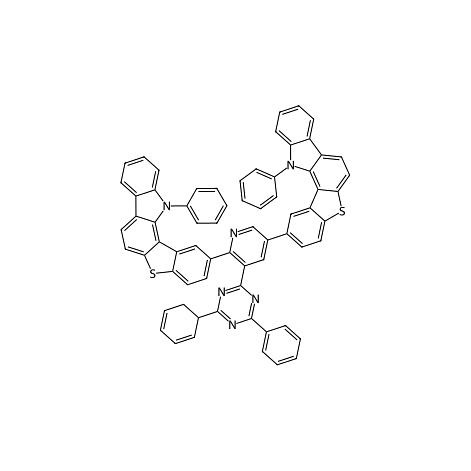 C1=CCC(c2nc(-c3ccccc3)nc(-c3cc(-c4ccc5sc6ccc7c8ccccc8n(-c8ccccc8)c7c6c5c4)cnc3-c3ccc4sc5ccc6c7ccccc7n(-c7ccccc7)c6c5c4c3)n2)C=C1